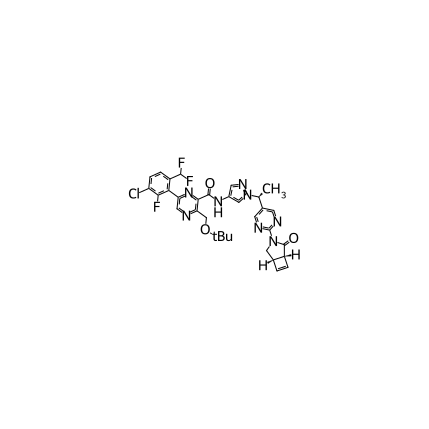 C[C@@H](c1cnc(N2C[C@H]3C=C[C@H]3C2=O)nc1)n1cc(NC(=O)c2nc(-c3c(C(F)F)ccc(Cl)c3F)cnc2COC(C)(C)C)cn1